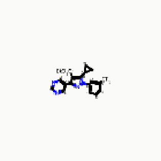 CCOC(=O)c1c(-c2cncnc2)nn(-c2cccc(C(F)(F)F)c2)c1C1CC1